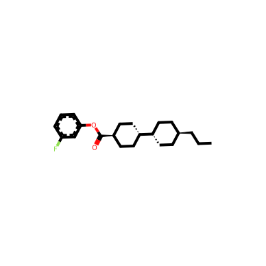 CCC[C@H]1CC[C@H]([C@H]2CC[C@H](C(=O)Oc3cccc(F)c3)CC2)CC1